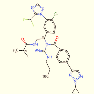 C[C@H](C(=O)NC[C@H](c1ccc(Cl)c(-n2ncnc2C(F)F)c1)N(C(=N)NCCC(C)(C)C)C(=O)c1ccc(-c2cnn(C3CC3)n2)cc1)C(F)(F)F